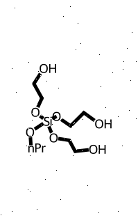 CCCO[Si](OCCO)(OCCO)OCCO